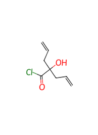 C=CCC(O)(CC=C)C(=O)Cl